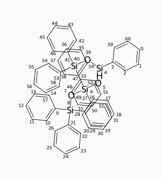 c1ccc([SiH](O[Si](O[Si](c2ccccc2)(c2ccccc2)c2ccccc2)(c2ccccc2)c2ccccc2)O[Si](c2ccccc2)(c2ccccc2)c2ccccc2)cc1